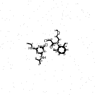 CCNc1nc(Cl)nc(NC(C)C)n1.COCCN(C(=O)CCl)c1c(C)cccc1C